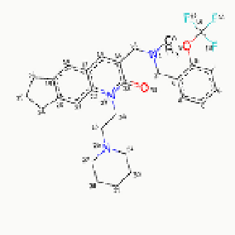 CN(Cc1ccccc1OC(F)(F)F)Cc1cc2cc3c(cc2n(CCN2CCCCC2)c1=O)CCC3